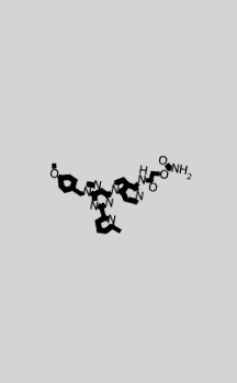 COc1ccc(Cn2cnc3c(-n4ccc5c(NC(=O)COC(N)=O)nccc54)nc(-c4cccc(C)n4)nc32)cc1